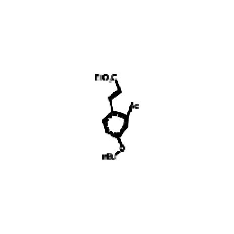 CCCCOc1ccc(/C=C/C(=O)OCC)c(C(C)=O)c1